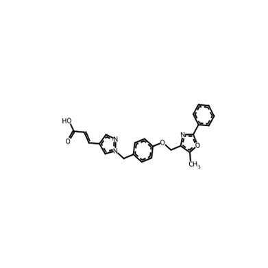 Cc1oc(-c2ccccc2)nc1COc1ccc(Cn2cc(C=CC(=O)O)cn2)cc1